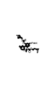 C=C(C)[C@@H]1CCC(C)=C[C@H]1c1c(OC(=O)SCCC2CN2C)cc(CCCCC)cc1OC(=S)SCC1CN(C)C1